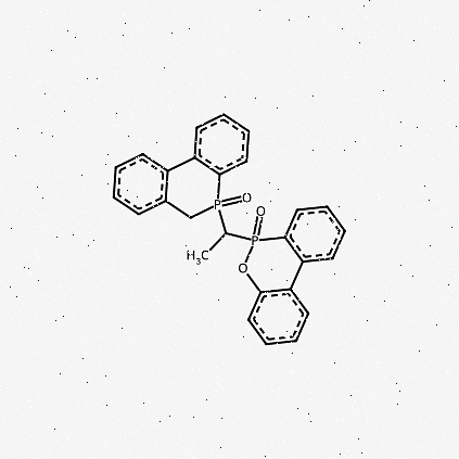 CC(P1(=O)Cc2ccccc2-c2ccccc21)P1(=O)Oc2ccccc2-c2ccccc21